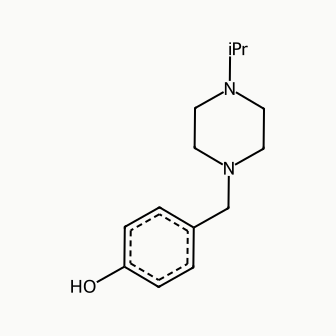 CC(C)N1CCN(Cc2ccc(O)cc2)CC1